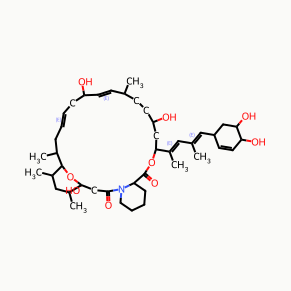 CC(=C\C1C=CC(O)C(O)C1)/C=C(\C)C1CC(O)CCC(C)/C=C/C(O)C/C=C/CC(C)C2OC(O)(CC(=O)N3CCCCC3C(=O)O1)C(C)CC2C